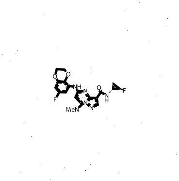 CNc1cc(Nc2cc(F)cc3c2OCCO3)nc2c(C(=O)N[C@@H]3C[C@@H]3F)cnn12